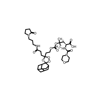 CC(C)(C[C@H](NC(=O)N1CCOCC1)C(=O)O)OC(=O)OCCC1(CCC(=O)NCCCN2CCCC2=O)OOC2(O1)C1CC3CC(C1)CC2C3